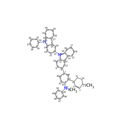 CC1C=CC(c2cc(-c3ccc4c(c3)c3ccccc3n4-c3ccc4c(c3)c3ccccc3n4-c3ccccc3)ccc2N(C)c2ccccc2)CC1